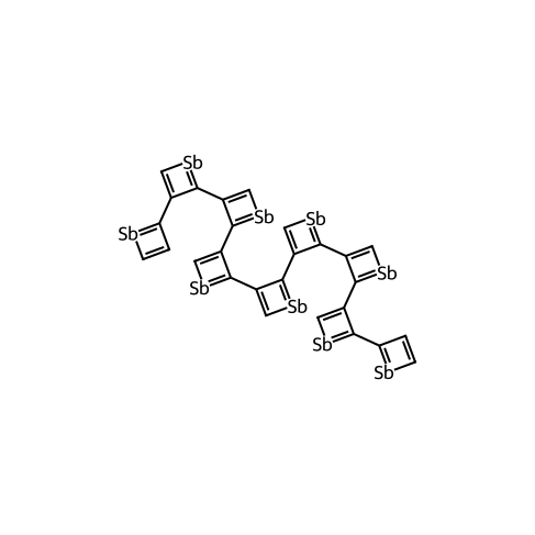 [CH]1=C[C](C2=[CH][Sb]=[C]2C2=[CH][Sb]=[C]2C2=[CH][Sb]=[C]2C2=[CH][Sb]=[C]2C2=[CH][Sb]=[C]2C2=[CH][Sb]=[C]2C2=[CH][Sb]=[C]2[C]2=[Sb][CH]=C2)=[Sb]1